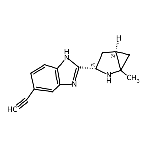 C#Cc1ccc2[nH]c([C@@H]3C[C@H]4CC4(C)N3)nc2c1